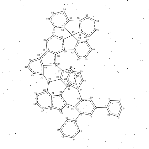 c1ccc(-c2cc(-c3ccccc3)c(-c3nc4cccc5c4n3-c3cccc4c3B5c3cccc5c6ccc7c(c6n-4c35)-c3ccccc3C73c4ccccc4-c4ccccc43)c(-c3ccccc3)c2)cc1